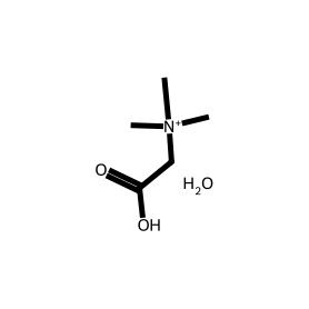 C[N+](C)(C)CC(=O)O.O